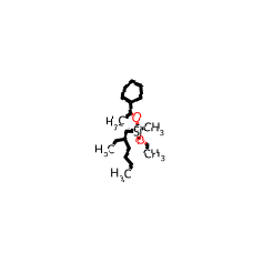 CCCCC(CC)C[Si](C)(OCC)OC(C)C1CCCCC1